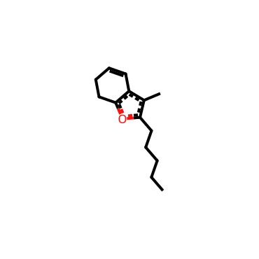 CCCCCc1oc2c(c1C)C=CCC2